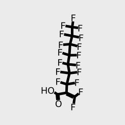 O=C(O)C(=C(F)F)C(F)(F)C(F)(F)C(F)(F)C(F)(F)C(F)(F)C(F)(F)C(F)(F)F